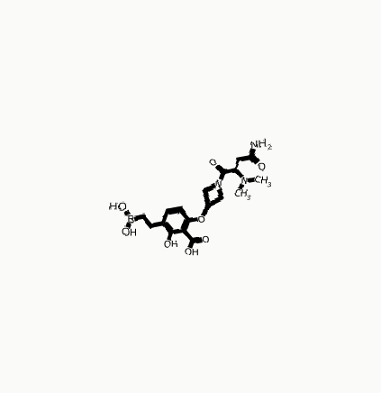 CN(C)[C@H](CC(N)=O)C(=O)N1CC(Oc2ccc(CCB(O)O)c(O)c2C(=O)O)C1